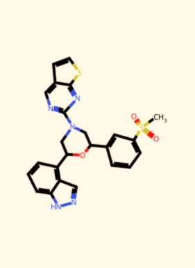 CS(=O)(=O)c1cccc(C2CN(c3ncc4ccsc4n3)CC(c3cccc4[nH]ncc34)O2)c1